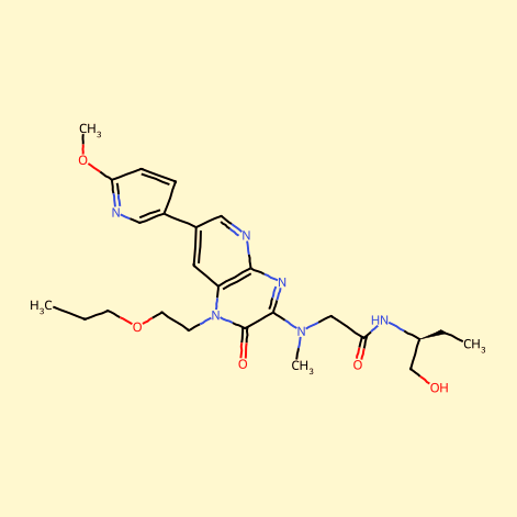 CCCOCCn1c(=O)c(N(C)CC(=O)N[C@@H](CC)CO)nc2ncc(-c3ccc(OC)nc3)cc21